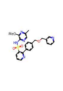 COc1nc(C)cnc1NS(=O)(=O)c1cccnc1-c1ccc(COCc2cccnc2)cc1